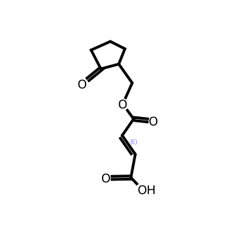 O=C(O)/C=C/C(=O)OCC1CCCC1=O